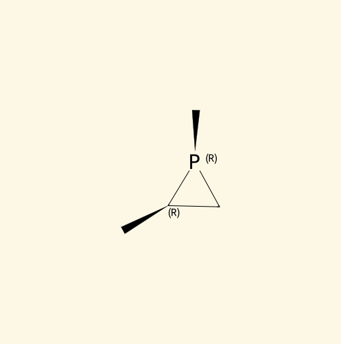 C[C@@H]1C[P@]1C